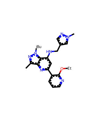 CCOc1ncccc1-c1cc(NCc2cnn(C)c2)c2c(n1)c(C)nn2C(C)CC